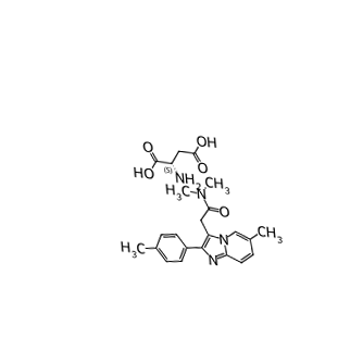 Cc1ccc(-c2nc3ccc(C)cn3c2CC(=O)N(C)C)cc1.N[C@@H](CC(=O)O)C(=O)O